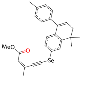 COC(=O)C=C(C)C#C[Se]c1ccc2c(c1)C(C)(C)CC=C2c1ccc(C)cc1